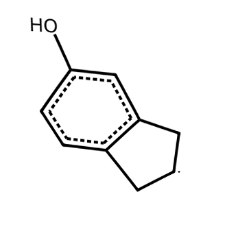 Oc1ccc2c(c1)C[CH]C2